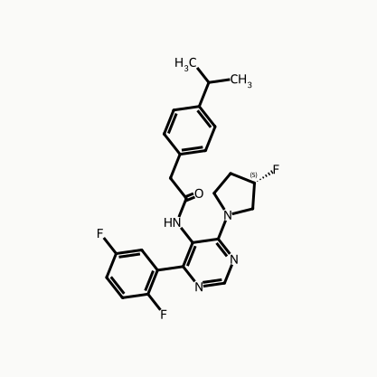 CC(C)c1ccc(CC(=O)Nc2c(-c3cc(F)ccc3F)ncnc2N2CC[C@H](F)C2)cc1